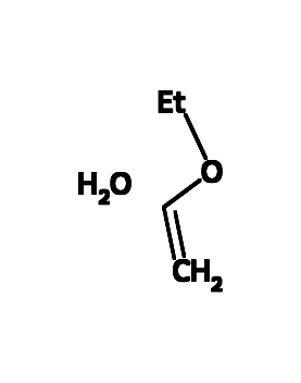 C=COCC.O